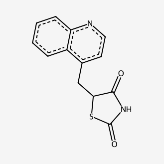 O=C1NC(=O)C(Cc2ccnc3ccccc23)S1